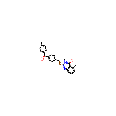 Cc1ccc(C(=O)c2ccc(CSc3nc4cccc(C)c4c(=O)n3C)cc2)cc1